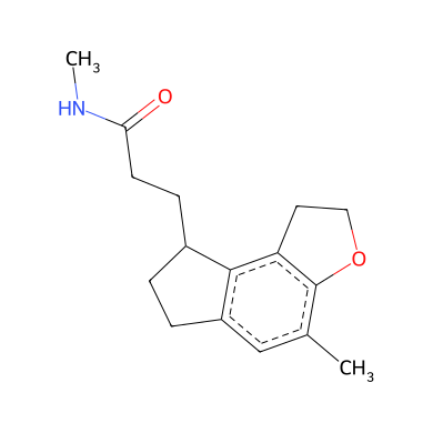 CNC(=O)CCC1CCc2cc(C)c3c(c21)CCO3